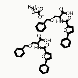 O=C(NC(COCc1ccccc1)C(=O)O)c1ccc(-c2ccccc2)o1.O=C(NC(COCc1ccccc1)C(=O)O)c1ccc(-c2ccccc2)o1.O=C([O-])[O-].[Na+].[Na+]